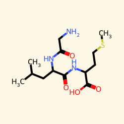 CSCCC(NC(=O)C(CC(C)C)NC(=O)CN)C(=O)O